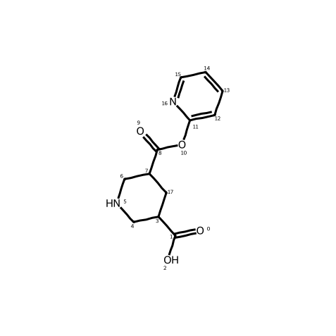 O=C(O)C1CNCC(C(=O)Oc2ccccn2)C1